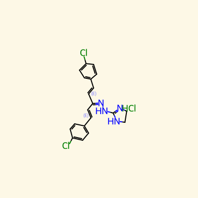 Cl.Clc1ccc(/C=C/C(/C=C/c2ccc(Cl)cc2)=NNC2=NCCN2)cc1